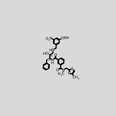 COc1cc(CNC[C@@H](O)[C@H](Cc2ccccc2)NC(=O)c2cccc(C(=O)N(C)Cc3nc(C)cs3)c2)cc([N+](=O)[O-])c1